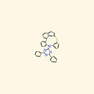 c1ccc(-c2nc(-c3ccccc3)nc(-n3c4cccc(c4)sc4ccc5cccc(c5c4)c4ccccc43)n2)cc1